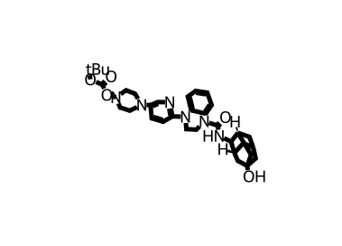 CC(C)(C)OC(=O)ON1CCN(c2ccc(N3CCN(C(=O)NC4[C@@H]5CC6C[C@H]4CC(O)(C6)C5)c4ccccc43)nc2)CC1